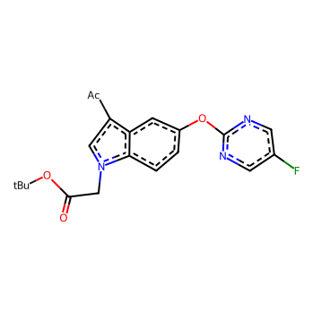 CC(=O)c1cn(CC(=O)OC(C)(C)C)c2ccc(Oc3ncc(F)cn3)cc12